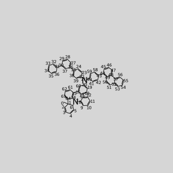 CC12C=CC=CC1N(c1ccccc1)c1c(-c3cccc(N(c4ccc(-c5cccc(-c6ccccc6)c5)cc4)c4ccc(-c5cccc6c5ccc5ccccc56)cc4)c3)cccc12